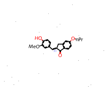 CCCOc1ccc2c(c1)C/C(=C\c1ccc(O)c(OC)c1)C2=O